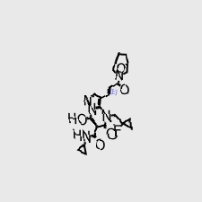 O=C(NC1CC1)c1c(O)n2ncc(/C=C/C(=O)N3CC4CCC(C3)O4)c2n(CC2(F)CC2)c1=O